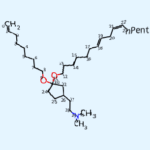 C=CCCCCCCCOC1(OCCCCCC/C=C/C/C=C\CCCCC)CCC(CCN(C)C)C1